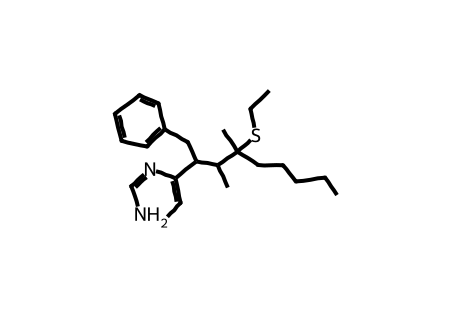 C/C=C(\N=C/N)C(Cc1ccccc1)C(C)C(C)(CCCCC)SCC